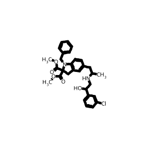 COC(=O)C1(C(=O)OC)Cc2cc(CC(C)NCC(O)c3cccc(Cl)c3)ccc2N1Cc1ccccc1